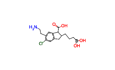 NCCc1cc2c(cc1Cl)CC(CCCB(O)O)C2C(=O)O